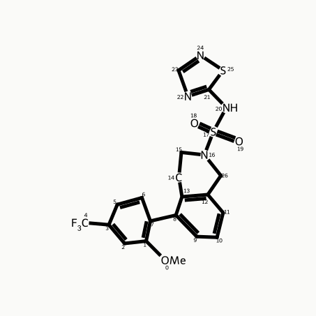 COc1cc(C(F)(F)F)ccc1-c1cccc2c1CCN(S(=O)(=O)Nc1ncns1)C2